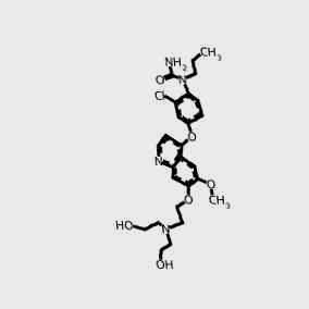 CCCN(C(N)=O)c1ccc(Oc2ccnc3cc(OCCN(CCO)CCO)c(OC)cc23)cc1Cl